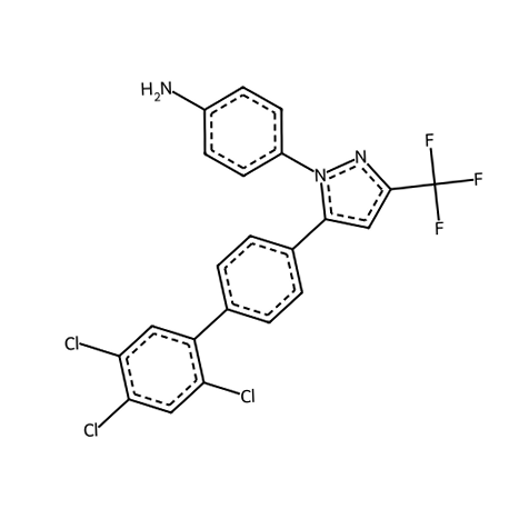 Nc1ccc(-n2nc(C(F)(F)F)cc2-c2ccc(-c3cc(Cl)c(Cl)cc3Cl)cc2)cc1